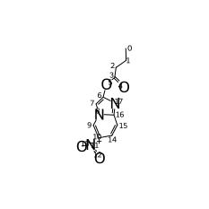 CCCC(=O)Oc1cn2cc([N+](=O)[O-])ccc2n1